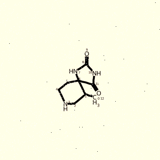 CC1CNCCC12NC(=O)NC2=O